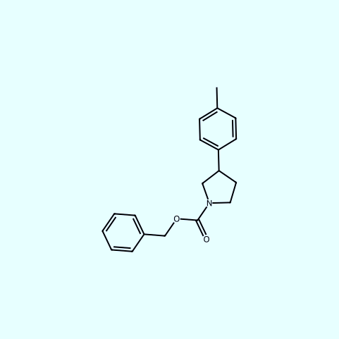 Cc1ccc(C2CCN(C(=O)OCc3ccccc3)C2)cc1